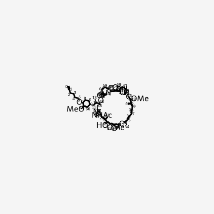 C#CCCCCO[C@@H]1CC[C@@H](C[C@@H](C)[C@@H]2C/C(=N/NC(C)=O)[C@H](C)/C=C(\C)[C@@H](O)[C@@H](OC)C(=O)[C@H](C)C[C@H](C)/C=C/C=C/C=C(\C)[C@@H](OC)C[C@@H]3CC[C@@H](C)[C@@](O)(O3)C(=O)C(=O)N3CCCC[C@H]3C(=O)O2)C[C@H]1OC